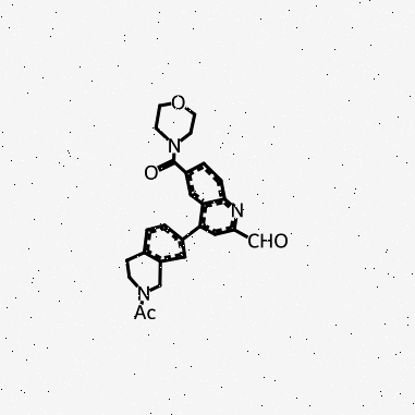 CC(=O)N1CCc2ccc(-c3cc(C=O)nc4ccc(C(=O)N5CCOCC5)cc34)cc2C1